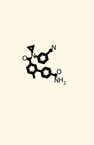 Cc1ccc(C(=O)N(c2cccc(C#N)c2)C2CC2)cc1-c1ccc(C(N)=O)cc1